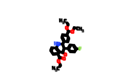 CCOC(=O)c1cccc2c1C(=O)C(c1ccc(F)cc1)C(c1ccc(C(OCC)OCC)cc1)N2